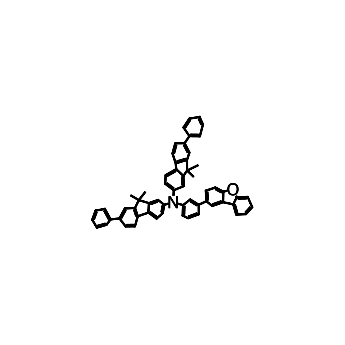 CC1(C)c2cc(-c3ccccc3)ccc2-c2ccc(N(c3cccc(-c4ccc5oc6ccccc6c5c4)c3)c3ccc4c(c3)C(C)(C)c3cc(-c5ccccc5)ccc3-4)cc21